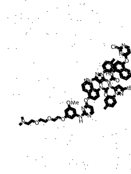 COc1cc(Nc2nccc(Oc3ccc(NC(=O)N(c4cc(C(C)(C)C)nn4-c4ccc(C)cc4)N(C(=O)Nc4ccc(Oc5ccnc(Cl)n5)c5ccccc45)c4cc(C(C)(C)C)nn4-c4ccc(C)cc4)c4ccccc34)n2)cc(OCCOCCOCCN(C)C)c1